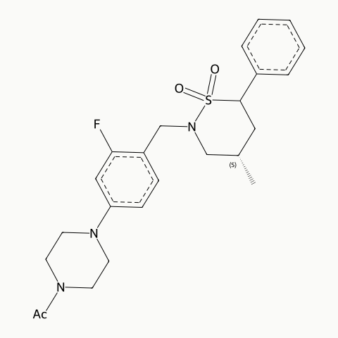 CC(=O)N1CCN(c2ccc(CN3C[C@@H](C)CC(c4ccccc4)S3(=O)=O)c(F)c2)CC1